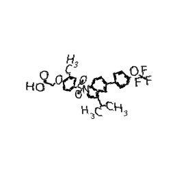 Cc1cc(S(=O)(=O)n2cc(C(C)C)c3cc(-c4ccc(OC(F)(F)F)cc4)ccc32)ccc1OCC(=O)O